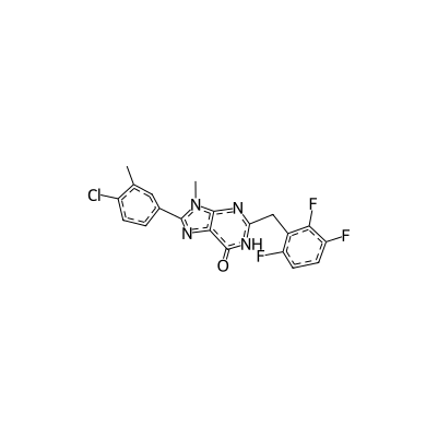 Cc1cc(-c2nc3c(=O)[nH]c(Cc4c(F)ccc(F)c4F)nc3n2C)ccc1Cl